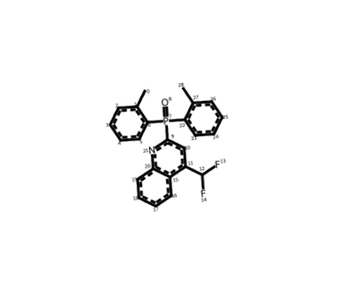 Cc1ccccc1P(=O)(c1cc(C(F)F)c2ccccc2n1)c1ccccc1C